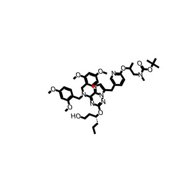 CCC[C@H](CCO)Oc1nc(N(Cc2ccc(OC)cc2OC)Cc2ccc(OC)cc2OC)c2ncc(Cc3ccc(OC(C)CN(C)C(=O)OC(C)(C)C)nc3)n2n1